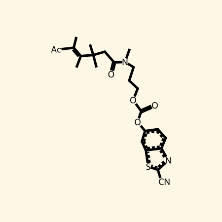 CC(=O)/C(C)=C(\C)C(C)(C)CC(=O)N(C)CCCOC(=O)Oc1ccc2nc(C#N)sc2c1